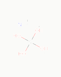 O[Si](O)(O)O.[N].[Y]